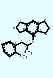 Cc1ccccc1CC(C)Nc1c2c(cc3c1CCC3)CCC2